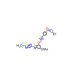 CC[C@@H]1CCN(C(=O)c2ccc(-c3nc(COc4cc(OC)cc5nc(-c6cn7nc(C(C)(F)F)sc7n6)sc45)cs3)cc2)C1